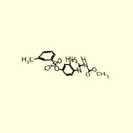 COC(=O)NC1=Nc2ccc(OS(=O)(=O)c3cccc(C)c3)cc2NS1